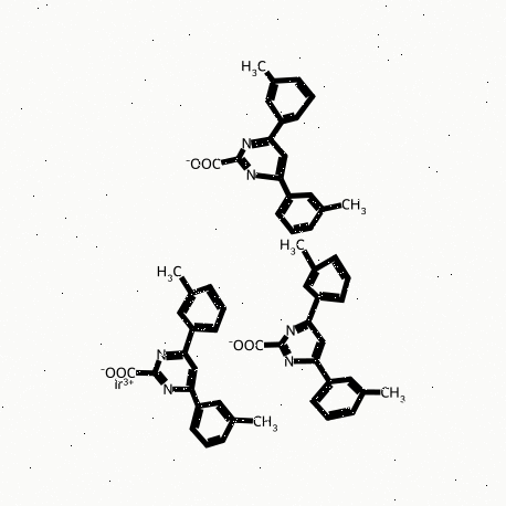 Cc1cccc(-c2cc(-c3cccc(C)c3)nc(C(=O)[O-])n2)c1.Cc1cccc(-c2cc(-c3cccc(C)c3)nc(C(=O)[O-])n2)c1.Cc1cccc(-c2cc(-c3cccc(C)c3)nc(C(=O)[O-])n2)c1.[Ir+3]